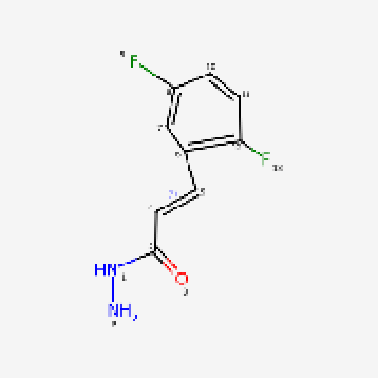 NNC(=O)/C=C/c1cc(F)ccc1F